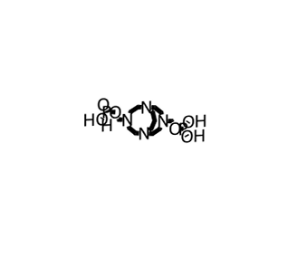 O=[PH](O)OCN1CCN2CCCN(CCN(COP(O)O)CC2)CC1